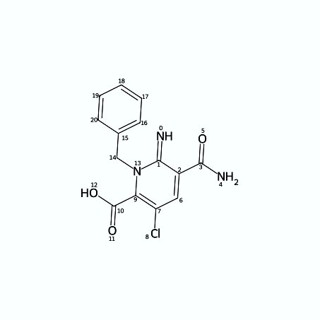 N=c1c(C(N)=O)cc(Cl)c(C(=O)O)n1Cc1ccccc1